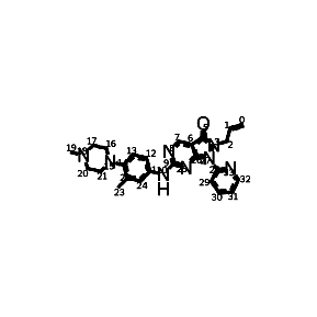 C=CCn1c(=O)c2cnc(Nc3ccc(N4CCN(C)CC4)c(C)c3)nc2n1-c1ccccn1